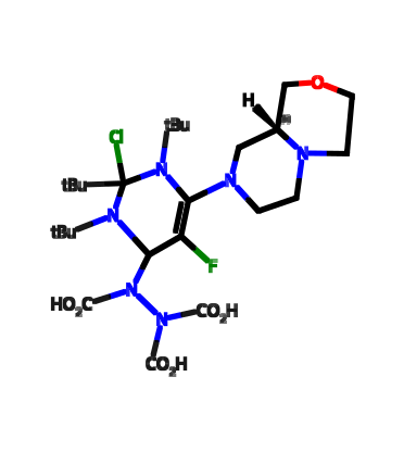 CC(C)(C)N1C(N2CCN3CCOC[C@H]3C2)=C(F)C(N(C(=O)O)N(C(=O)O)C(=O)O)N(C(C)(C)C)C1(Cl)C(C)(C)C